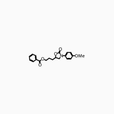 COc1ccc(N2CC(CCCOC(=O)c3ccccc3)OC2=O)cc1